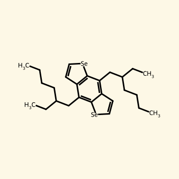 CCCCC(CC)Cc1c2cc[se]c2c(CC(CC)CCCC)c2cc[se]c12